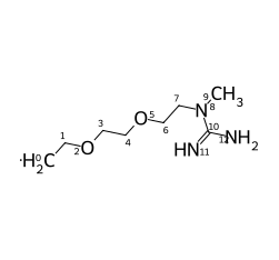 [CH2]COCCOCCN(C)C(=N)N